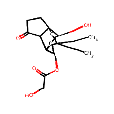 CC1(C)C[C@@H](OC(=O)CO)C2CCCC3(CCC(=O)C23)C[C@@H]1O